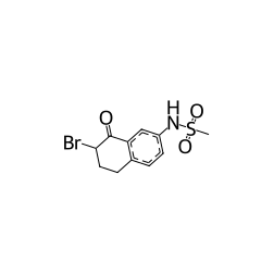 CS(=O)(=O)Nc1ccc2c(c1)C(=O)C(Br)CC2